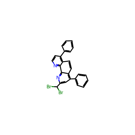 BrC(Br)c1cc(-c2ccccc2)c2ccc3c(-c4ccccc4)ccnc3c2n1